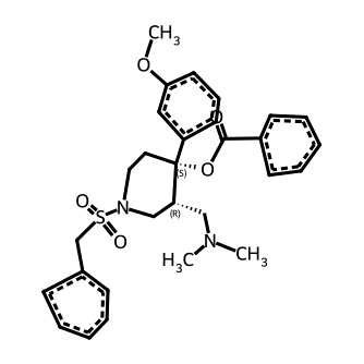 COc1cccc([C@]2(OC(=O)c3ccccc3)CCN(S(=O)(=O)Cc3ccccc3)C[C@H]2CN(C)C)c1